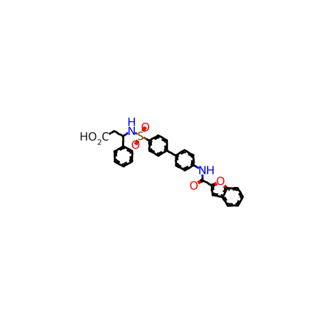 O=C(O)CC(NS(=O)(=O)c1ccc(-c2ccc(NC(=O)c3cc4ccccc4o3)cc2)cc1)c1ccccc1